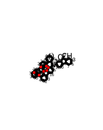 CC1(C)c2ccccc2-c2ccc(N(c3ccc4c(c3)C3(c5ccccc5-c5ccccc53)c3c(-c5ccccc5)cccc3-4)c3ccccc3-c3ccccc3)cc21